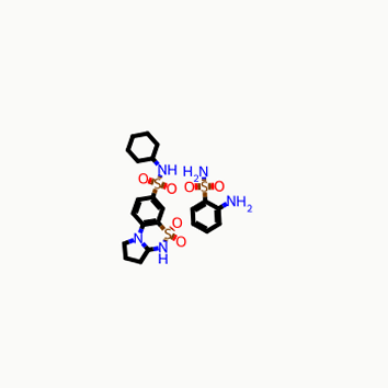 Nc1ccccc1S(N)(=O)=O.O=S(=O)(NC1CCCCC1)c1ccc2c(c1)S(=O)(=O)NC1CCCN21